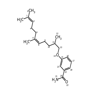 CC(C)=CCCC(C)=CCCC(C)COc1cccc(C(N)=O)c1